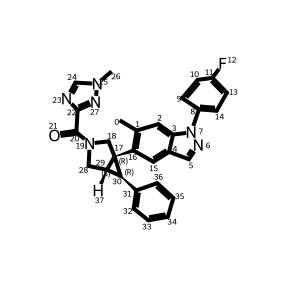 Cc1cc2c(cnn2-c2ccc(F)cc2)cc1[C@]12CN(C(=O)c3ncn(C)n3)C[C@H]1[C@@H]2c1ccccc1